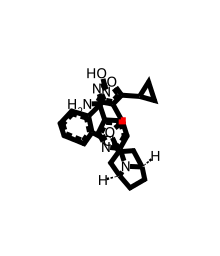 NC(=NO)c1ccc(N2[C@@H]3CC[C@H]2CC(OCc2c(-c4ccccc4Cl)noc2C2CC2)C3)nc1